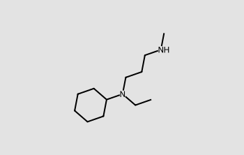 CCN(CCCNC)C1CCCCC1